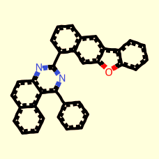 c1ccc(-c2nc(-c3cccc4cc5c(cc34)oc3ccccc35)nc3ccc4ccccc4c23)cc1